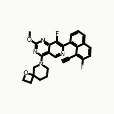 C#Cc1c(F)ccc2cccc(-c3ncc4c(N5CCCC6(CCO6)C5)nc(OC)nc4c3F)c12